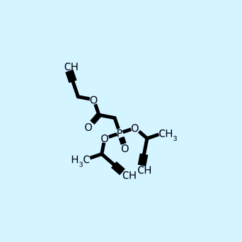 C#CCOC(=O)CP(=O)(OC(C)C#C)OC(C)C#C